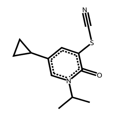 CC(C)n1cc(C2CC2)cc(SC#N)c1=O